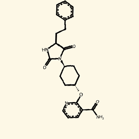 NC(=O)c1cccnc1O[C@H]1CC[C@H](N2C(=O)NC(CCc3ccccc3)C2=O)CC1